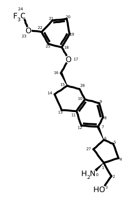 N[C@]1(CO)CC[C@H](c2ccc3c(c2)CC[C@@H](COc2cccc(OC(F)(F)F)c2)C3)C1